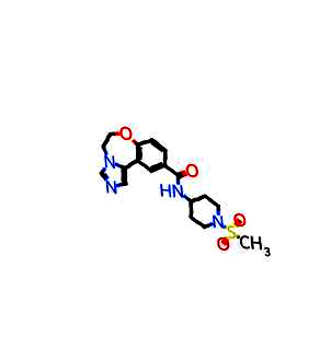 CS(=O)(=O)N1CCC(NC(=O)c2ccc3c(c2)-c2cncn2CCO3)CC1